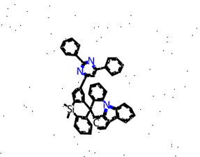 C[Si]1(C)c2ccccc2C2(c3ccccc3-n3c4ccccc4c4cccc2c43)c2cc(-c3cc(-c4ccccc4)nc(-c4ccccc4)n3)ccc21